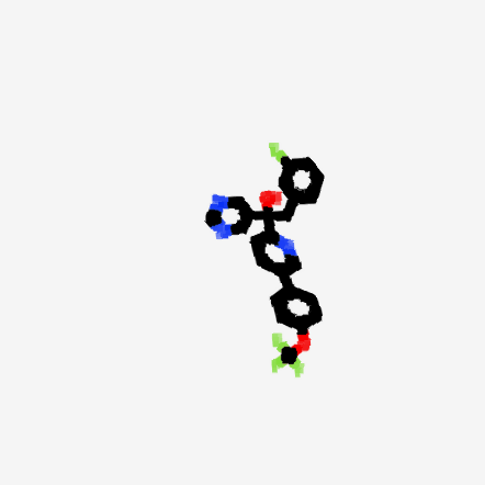 OC(Cc1cccc(F)c1)(c1cncnc1)c1ccc(-c2ccc(OC(F)(F)F)cc2)cn1